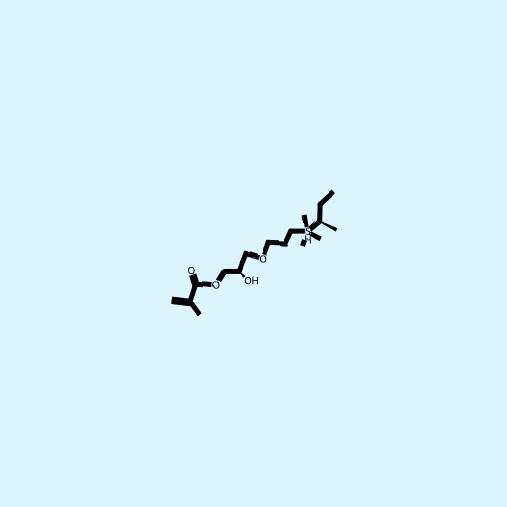 C=C(C)C(=O)OC[C@@H](O)COCCC[SH](C)(C)(C)[C@H](C)CC